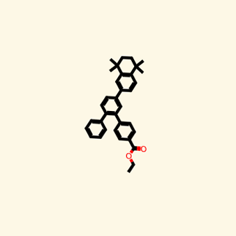 CCOC(=O)c1ccc(-c2cc(-c3ccc4c(c3)C(C)(C)CCC4(C)C)ccc2-c2ccccc2)cc1